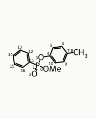 COP(=O)(Oc1ccc(C)cc1)c1ccccc1